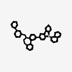 c1ccc(-c2cccc(CC3CCc4ccccc4-c4cc(-c5ccc6c(c5)c5ccccc5n6-c5cccc6ccccc56)ccc43)c2)cc1